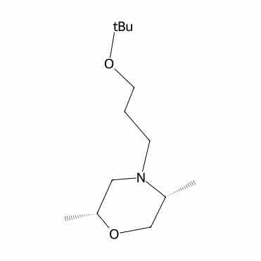 C[C@@H]1CN(CCCOC(C)(C)C)[C@H](C)CO1